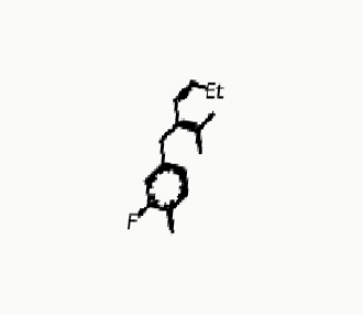 CC/C=C\C(Cc1ccc(C)c(F)c1)=C(C)C